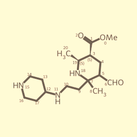 COC(=O)[C@H]1CC(C=O)C(C)(CCNC2CCNCC2)N[C@H]1C